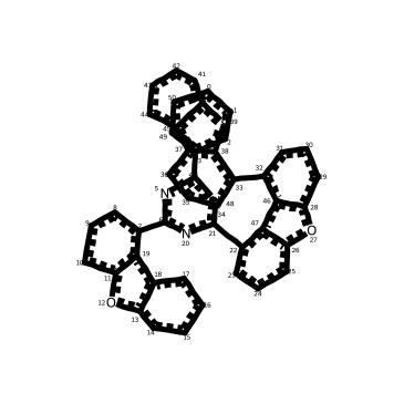 c1ccc(-c2nc(-c3cccc4oc5ccccc5c34)nc(-c3cccc4oc5cccc(-c6cccc7c6sc6ccccc67)c5c34)n2)cc1